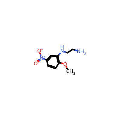 COc1ccc([N+](=O)[O-])cc1NCCN